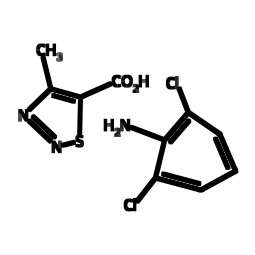 Cc1nnsc1C(=O)O.Nc1c(Cl)cccc1Cl